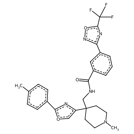 Cc1ccc(-c2nc(C3(CNC(=O)c4cccc(-c5noc(C(F)(F)F)n5)c4)CCN(C)CC3)co2)cc1